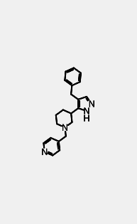 c1ccc(Cc2cn[nH]c2C2CCCN(Cc3ccncc3)C2)cc1